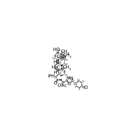 CC(=O)O[C@@H](c1nnc(-c2ccc(Cl)cc2)o1)[C@@H]1C(=O)C(C(C)C)=C2C1CC[C@]1(C)[C@@H]2CC[C@@H]2[C@@]3(C)CC[C@H](O)C(C)(C)[C@@H]3CC[C@]21C